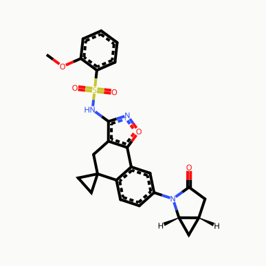 COc1ccccc1S(=O)(=O)Nc1noc2c1CC1(CC1)c1ccc(N3C(=O)C[C@@H]4C[C@@H]43)cc1-2